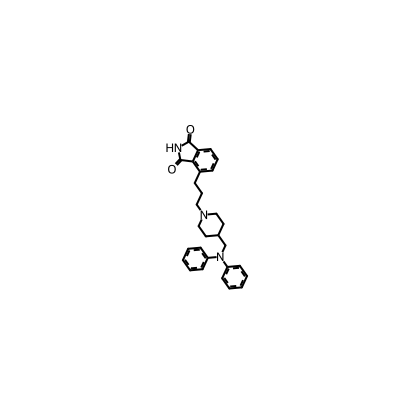 O=C1NC(=O)c2c(CCCN3CCC(CN(c4ccccc4)c4ccccc4)CC3)cccc21